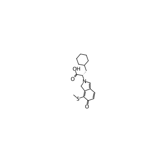 CSC1=C2CN([C@@H](CC3CCCCC3)C(=O)O)C=C2C=CC1=O